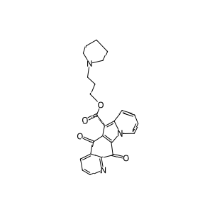 O=C1c2cccnc2C(=O)c2c1c(C(=O)OCCCN1CCCCC1)c1ccccn21